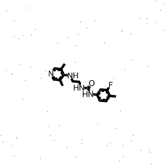 Cc1ccc(NC(=O)NCCNc2c(C)cncc2C)cc1F